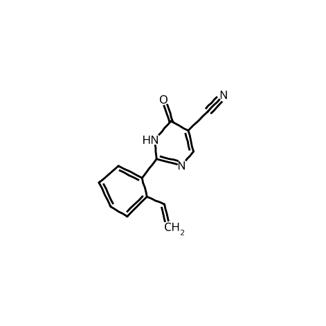 C=Cc1ccccc1-c1ncc(C#N)c(=O)[nH]1